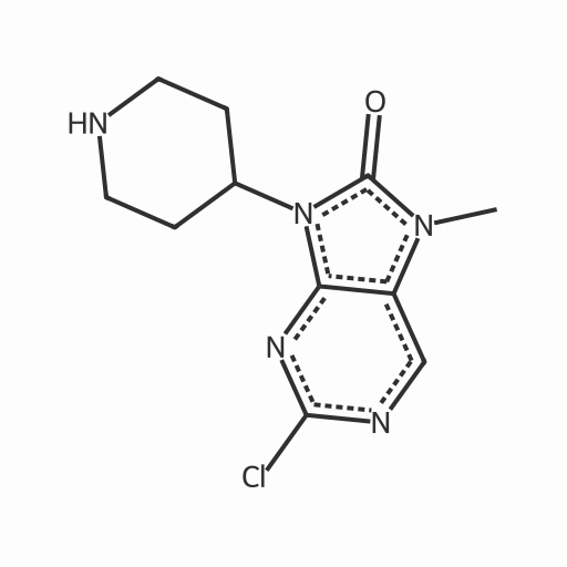 Cn1c(=O)n(C2CCNCC2)c2nc(Cl)ncc21